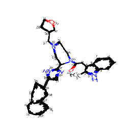 Cc1[nH]c2ccccc2c1CC(=O)N1CCN(CC2CCOC2)CC1c1ncc(-c2ccc3ccccc3c2)[nH]1